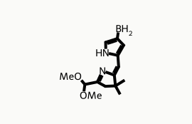 Bc1c[nH]c(/C=C2\N=C(C(OC)OC)CC2(C)C)c1